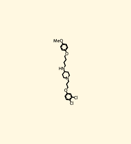 COc1ccc(OCCCCNC2CCN(CCCOc3ccc(Cl)c(Cl)c3)CC2)cc1